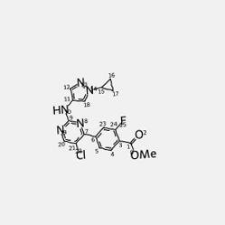 COC(=O)c1ccc(-c2nc(Nc3cnn(C4CC4)c3)ncc2Cl)cc1F